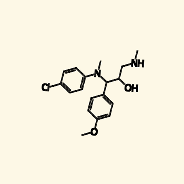 CNCC(O)C(c1ccc(OC)cc1)N(C)c1ccc(Cl)cc1